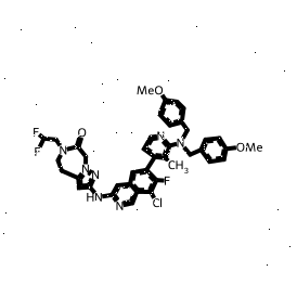 COc1ccc(CN(Cc2ccc(OC)cc2)c2nccc(-c3cc4cc(Nc5cc6n(n5)CC(=O)N(CC(F)F)CC6)ncc4c(Cl)c3F)c2C)cc1